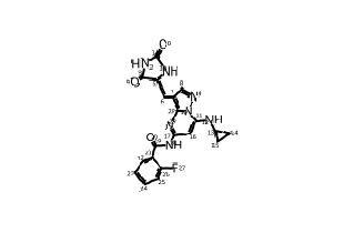 O=C1NC(=O)C(=Cc2cnn3c(NC4CC4)cc(NC(=O)c4ccccc4F)nc23)N1